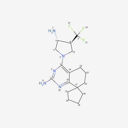 Nc1nc(N2C[C@H](N)[C@@H](C(F)(F)F)C2)c2c(n1)C1(CCCC1)CCC2